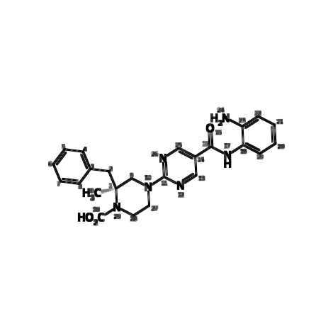 C[C@]1(Cc2ccccc2)CN(c2ncc(C(=O)Nc3ccccc3N)cn2)CCN1C(=O)O